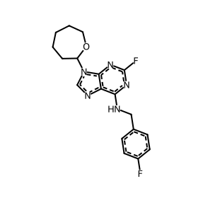 Fc1ccc(CNc2nc(F)nc3c2ncn3C2CCCCCO2)cc1